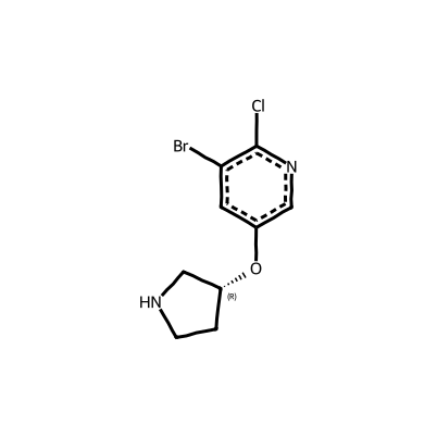 Clc1ncc(O[C@@H]2CCNC2)cc1Br